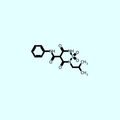 CC(C)CN1C(=O)C(C(=O)Nc2ccccc2)C(=O)NS1(=O)=O